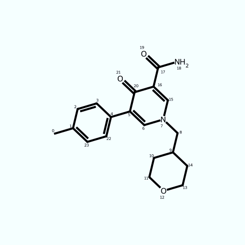 Cc1ccc(-c2cn(CC3CCOCC3)cc(C(N)=O)c2=O)cc1